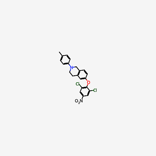 Cc1ccc(N2CCc3cc(Oc4c(Cl)cc([N+](=O)[O-])cc4Cl)ccc3C2)cc1